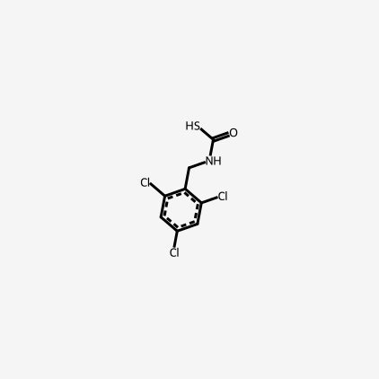 O=C(S)NCc1c(Cl)cc(Cl)cc1Cl